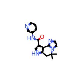 CC1(C)Cc2[nH]cc(C(=O)Nc3cccnc3)c2-c2nccn21